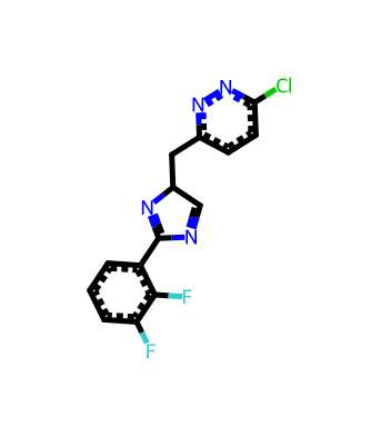 Fc1cccc(C2=NC(Cc3ccc(Cl)nn3)C=N2)c1F